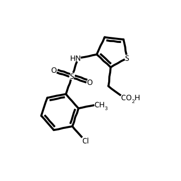 Cc1c(Cl)cccc1S(=O)(=O)Nc1ccsc1CC(=O)O